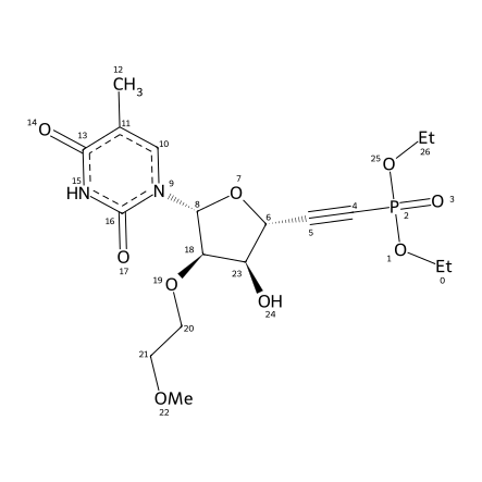 CCOP(=O)(C#C[C@H]1O[C@@H](n2cc(C)c(=O)[nH]c2=O)[C@H](OCCOC)[C@@H]1O)OCC